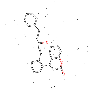 O=C(C=Cc1ccccc1)C=Cc1ccccc1-c1cc(=O)oc2ccccc12